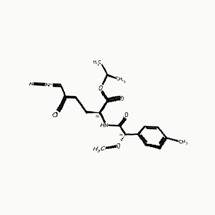 CO[C@H](C(=O)N[C@@H](CCC(=O)C=[N+]=[N-])C(=O)OC(C)C)c1ccc(C)cc1